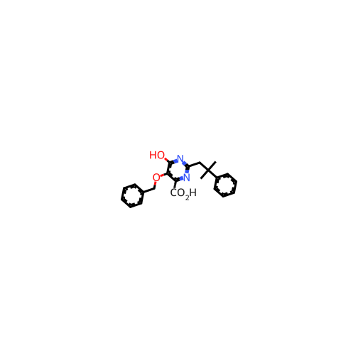 CC(C)(Cc1nc(O)c(OCc2ccccc2)c(C(=O)O)n1)c1ccccc1